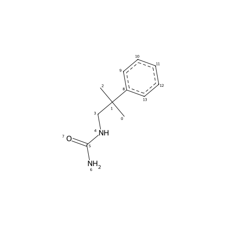 CC(C)(CNC(N)=O)c1ccccc1